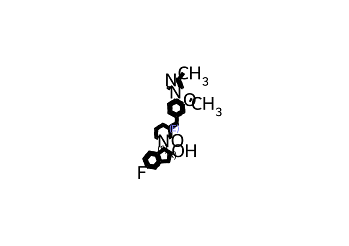 COc1cc(/C=C2\CCCN([C@H]3c4ccc(F)cc4C[C@H]3O)C2=O)ccc1-n1cnc(C)c1